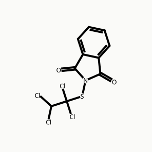 O=C1c2ccccc2C(=O)N1SC(Cl)(Cl)C(Cl)Cl